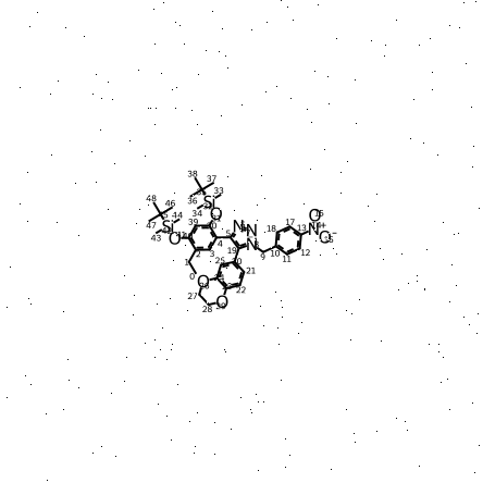 CCc1cc(-c2nnn(Cc3ccc([N+](=O)[O-])cc3)c2-c2ccc3c(c2)OCCO3)c(O[Si](C)(C)C(C)(C)C)cc1O[Si](C)(C)C(C)(C)C